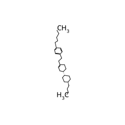 CCCCCCc1ccc(CCC2=CCC([C@H]3CC[C@H](CCCC)CC3)CC2)cc1